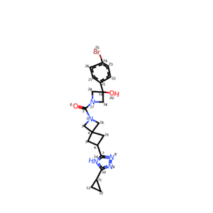 O=C(N1CC2(CC(c3nnc(C4CC4)[nH]3)C2)C1)N1CC(O)(c2ccc(Br)cc2)C1